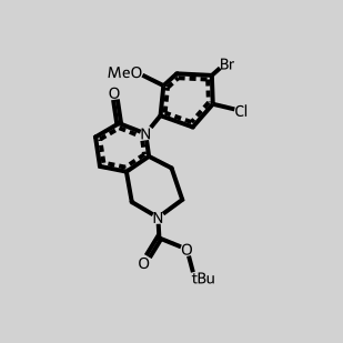 COc1cc(Br)c(Cl)cc1-n1c2c(ccc1=O)CN(C(=O)OC(C)(C)C)CC2